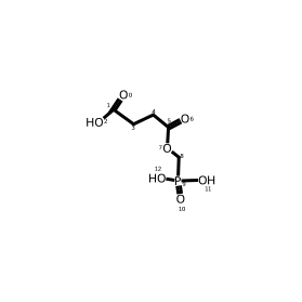 O=C(O)CCC(=O)OCP(=O)(O)O